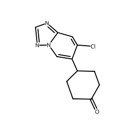 O=C1CCC(c2cn3ncnc3cc2Cl)CC1